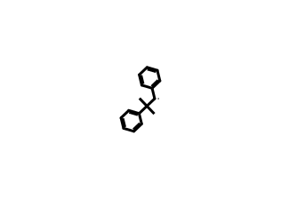 CC(C)([CH]c1ccccc1)c1ccccc1